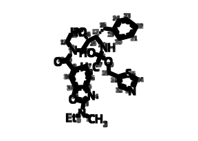 CCN(C)c1nc2ccc(C(=O)N(CC(C)C)C[C@H](O)[C@H](Cc3ccccc3)NC(C)(O)OCc3cncs3)cc2o1